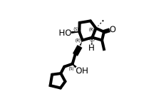 CC1C(=O)[C@]2(C)CC[C@H](O)[C@@H](C#C[C@@H](O)CC3CCCC3)[C@H]12